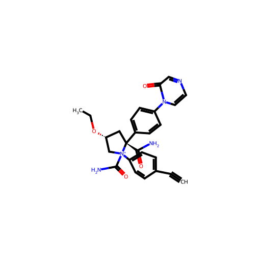 C#Cc1ccc([N+]2(C(N)=O)C[C@H](OCC)C[C@]2(C(N)=O)c2ccc(-n3ccncc3=O)cc2)cc1